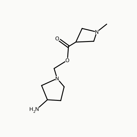 CN1CC(C(=O)OCN2CCC(N)C2)C1